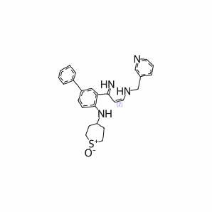 N=C(/C=C\NCc1cccnc1)c1cc(-c2ccccc2)ccc1NC1CC[S+]([O-])CC1